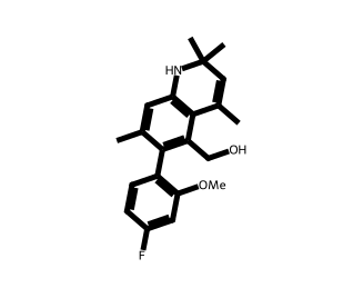 COc1cc(F)ccc1-c1c(C)cc2c(c1CO)C(C)=CC(C)(C)N2